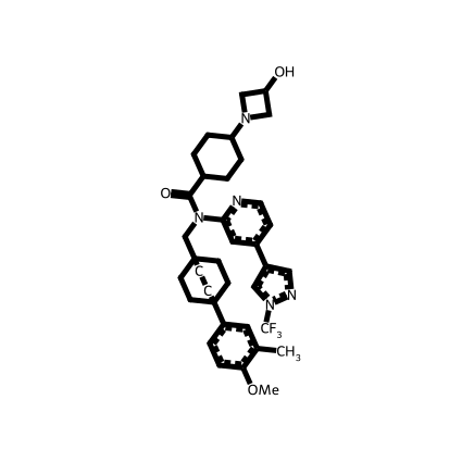 COc1ccc(C23CCC(CN(C(=O)C4CCC(N5CC(O)C5)CC4)c4cc(-c5cnn(C(F)(F)F)c5)ccn4)(CC2)CC3)cc1C